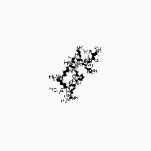 C[C@H](NC(=O)[C@H](CCCCN)NC(=O)[C@H](Cc1c[nH]cn1)NC(=O)CNC(=O)[C@@H](N)CS)C(=O)N[C@@H](CCCCN)C(=O)NCC(=O)N1CCC[C@H]1C(=O)N[C@@H](CCCNC(=N)N)C(=O)N[C@@H](CCCCN)C(=O)O